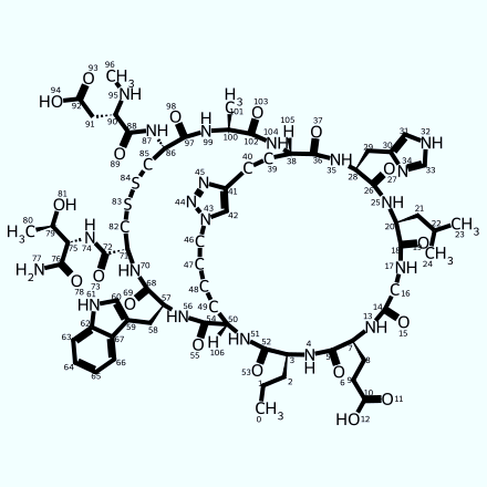 CCC[C@@H]1NC(=O)[C@H](CCC(=O)O)NC(=O)CNC(=O)[C@H](CC(C)C)NC(=O)[C@H](Cc2c[nH]cn2)NC(=O)[C@@H]2CCc3cn(nn3)CCCC[C@H](NC1=O)C(=O)N[C@@H](Cc1c[nH]c3ccccc13)C(=O)N[C@H](C(=O)N[C@H](C(N)=O)[C@@H](C)O)CSSC[C@H](NC(=O)[C@H](CC(=O)O)NC)C(=O)N[C@@H](C)C(=O)N2